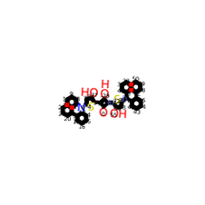 O=C1C(c2sc(N(c3ccccc3)c3ccccc3-c3ccccc3)cc2O)=C(O)/C1=c1\s/c(=C(\c2ccccc2)c2ccccc2-c2ccccc2)cc1O